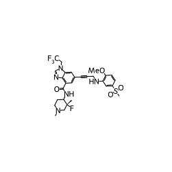 COc1ccc(S(C)(=O)=O)cc1NCC#Cc1cc(C(=O)N[C@@H]2CCN(C)C[C@@]2(C)F)c2ncn(CC(F)(F)F)c2c1